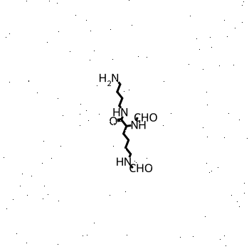 NCCCCNC(=O)C(CCCCNC=O)NC=O